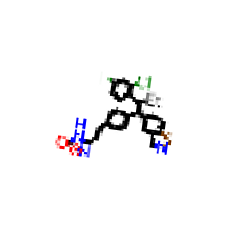 CC/C(=C(/c1ccc(/C=C/c2noc(=O)[nH]2)cc1)c1ccc2sncc2c1)c1ccc(F)cc1Cl